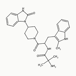 Cc1[nH]c2ccccc2c1CC(NC(=O)C(C)(C)N)C(=O)N1CCC(n2c(=O)[nH]c3ccccc32)CC1